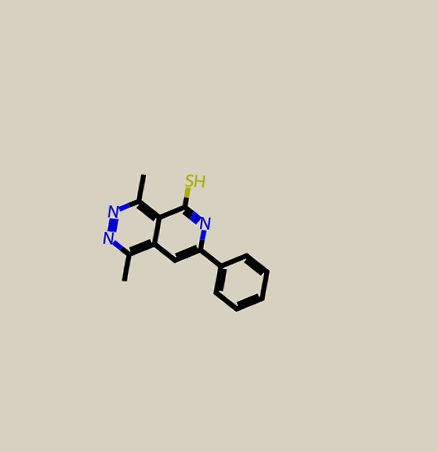 Cc1nnc(C)c2c(S)nc(-c3ccccc3)cc12